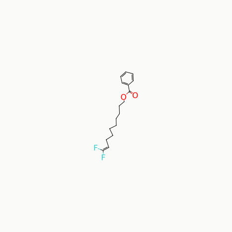 O=C(OCCCCCCCCC=C(F)F)c1ccccc1